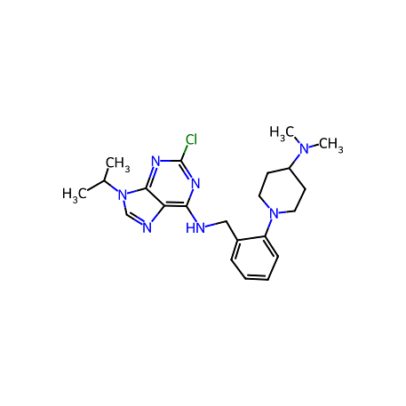 CC(C)n1cnc2c(NCc3ccccc3N3CCC(N(C)C)CC3)nc(Cl)nc21